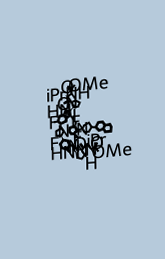 COC(=O)NC(C(=O)N1CCC[C@H]1c1nc2cc([C@H]3CC[C@H](c4cc5nc([C@@H]6CCCN6C(=O)[C@@H](NC(=O)OC)C(C)C)[nH]c5cc4F)N3c3cc(F)c(N4CCC(c5ccc6ccccc6c5)CC4)c(F)c3)c(F)cc2[nH]1)C(C)C